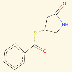 O=C1CC(SC(=O)c2ccccc2)CN1